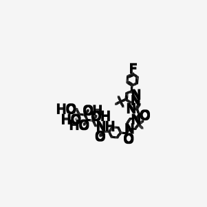 CC(C)(C)c1cc(-c2ccc(F)cc2)nn2cc(C(=O)N3CCN(C(=O)C4CCC(C(=O)NC[C@H](O)[C@@H](O)[C@H](O)[C@H](O)CO)CC4)CC3(C)C)nc12